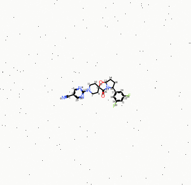 N#Cc1cnc(N2CCC3(CC2)OC2CCC(c4cc(F)cc(F)c4)N2C3=O)nc1